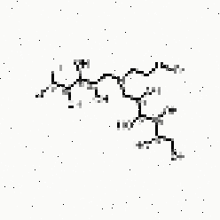 CC[C@H](O)[C@H](O)[C@@H](O)[C@H](O)CN(CCOC(C)C)C[C@@H](O)[C@H](O)[C@@H](O)[C@@H](O)CO